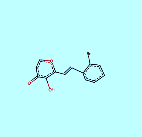 O=c1ccoc(C=Cc2ccccc2Br)c1O